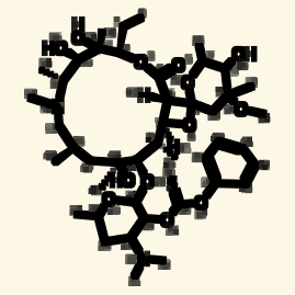 CC[C@H]1OC(=O)[C@H]2[C@@H](OC23CC(C)(OC)C(O)C(C)O3)[C@H](C)[C@@H](OC2OC(C)CC(N(C)C)C2OC(=S)Oc2ccccc2)[C@@](C)(O)C[C@@H](C)CN(C)[C@H](C)[C@@H](O)[C@]1(C)O